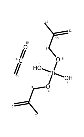 C=C(C)C[O][Ti]([OH])([OH])[O]CC(=C)C.C=C=O